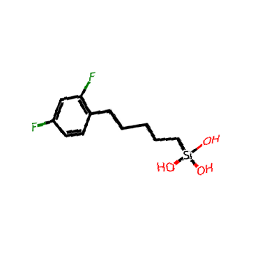 O[Si](O)(O)CCCCCc1ccc(F)cc1F